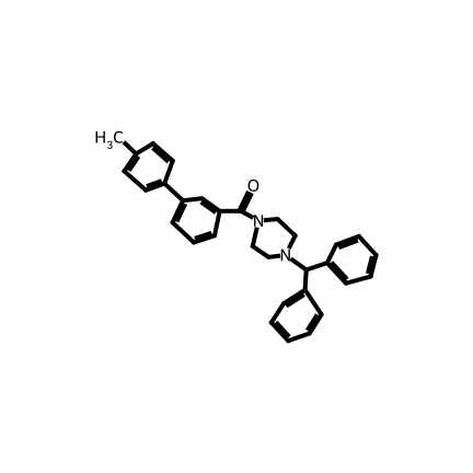 Cc1ccc(-c2cccc(C(=O)N3CCN(C(c4ccccc4)c4ccccc4)CC3)c2)cc1